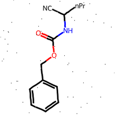 CCCC(C#N)NC(=O)OCc1ccccc1